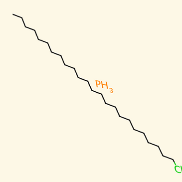 CCCCCCCCCCCCCCCCCCCCCCCCCl.P